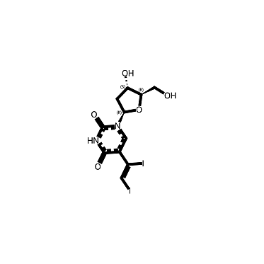 O=c1[nH]c(=O)n([C@H]2C[C@H](O)[C@@H](CO)O2)cc1C(I)=CI